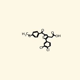 COc1ccc(C(=O)c2cc(CC(=O)O)c(-c3ccc(Cl)c(Cl)c3)s2)cc1